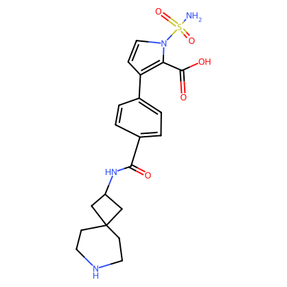 NS(=O)(=O)n1ccc(-c2ccc(C(=O)NC3CC4(CCNCC4)C3)cc2)c1C(=O)O